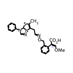 CO/C=C(/C(=O)O)c1ccccc1CON=CCC1=C(C)SC2N1N=CN2c1ccccc1